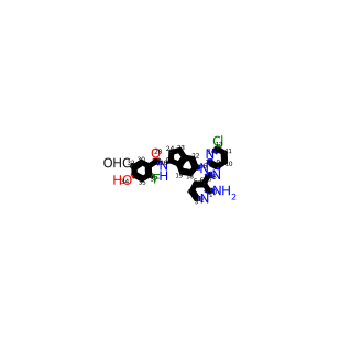 Nc1ncccc1-c1nc2ccc(Cl)nc2n1-c1ccc2c(c1)CC[C@@H]2NC(=O)c1cc(C=O)c(O)cc1F